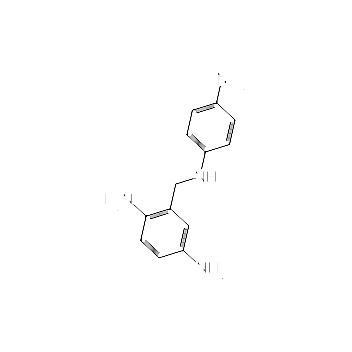 Nc1ccc(N)c(CNc2ccc([N+](=O)[O-])cc2)c1